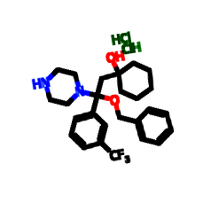 Cl.Cl.OC1(CC(OCc2ccccc2)(c2cccc(C(F)(F)F)c2)N2CCNCC2)CCCCC1